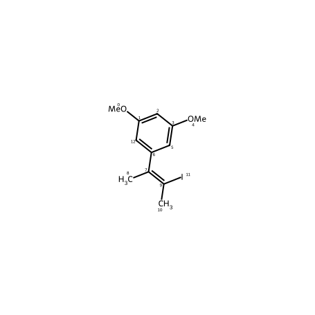 COc1cc(OC)cc(C(C)=C(C)I)c1